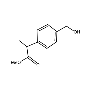 COC(=O)C(C)c1ccc(CO)cc1